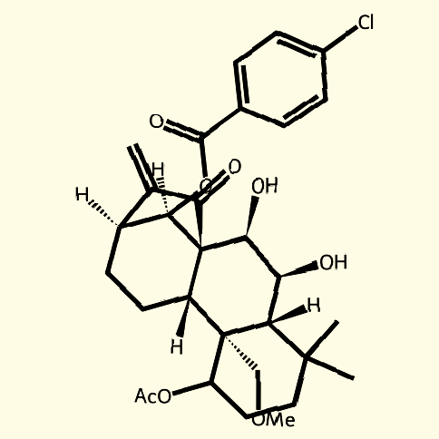 C=C1C(=O)[C@]23[C@H](OC(=O)c4ccc(Cl)cc4)[C@H]1CC[C@H]2[C@]1(COC)C(OC(C)=O)CCC(C)(C)[C@H]1[C@H](O)[C@@H]3O